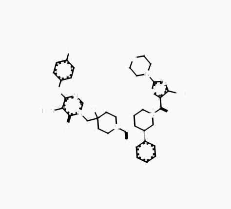 Cc1nc(N2CCOCC2)sc1C(=O)N1CC[C@@H](C(=O)N2CCC(O)(Cn3cnc(Oc4ccc(F)cc4)c(N)c3=O)CC2)[C@H](c2ccccc2)C1